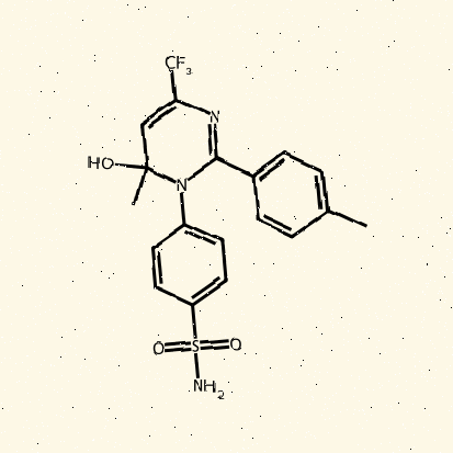 Cc1ccc(C2=NC(C(F)(F)F)=CC(C)(O)N2c2ccc(S(N)(=O)=O)cc2)cc1